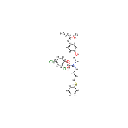 CCOC(Cc1ccc(OCCN(CCCCSc2ccccc2)C(=O)Oc2ccc(Cl)cc2Cl)cc1)C(=O)O